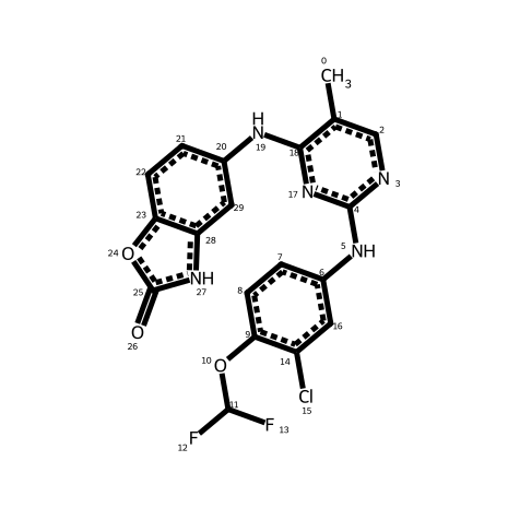 Cc1cnc(Nc2ccc(OC(F)F)c(Cl)c2)nc1Nc1ccc2oc(=O)[nH]c2c1